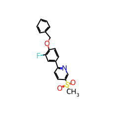 CS(=O)(=O)c1ccc(-c2ccc(OCc3ccccc3)c(F)c2)nc1